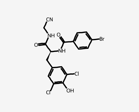 N#CCNC(=O)[C@H](Cc1cc(Cl)c(O)c(Cl)c1)NC(=O)c1ccc(Br)cc1